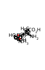 C[C@H](OC(=O)[C@H](CC(=O)OC1=CC[C@@]2(O)[C@H]3Cc4ccc(O)c5c4[C@@]2(CCN3C)[C@H]1O5)OC(=O)CCN)C(=O)O